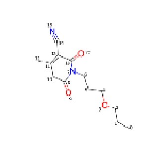 CCCOCCCN1C(=O)CC(C)=C(C#N)C1=O